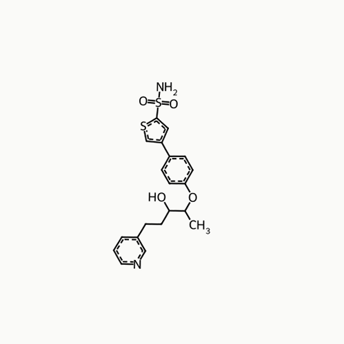 CC(Oc1ccc(-c2csc(S(N)(=O)=O)c2)cc1)C(O)CCc1cccnc1